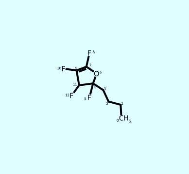 CCCCC1(F)OC(F)=C(F)C1F